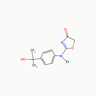 CCN(C1=NC(=O)CO1)c1ccc(C(O)(C(F)(F)F)C(F)(F)F)cc1